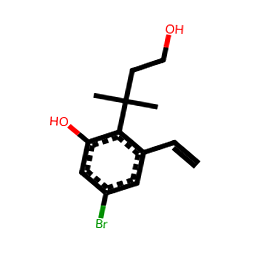 C=Cc1cc(Br)cc(O)c1C(C)(C)CCO